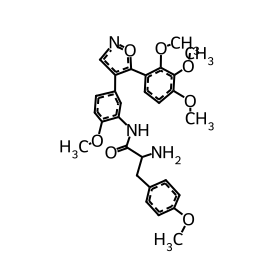 COc1ccc(CC(N)C(=O)Nc2cc(-c3cnoc3-c3ccc(OC)c(OC)c3OC)ccc2OC)cc1